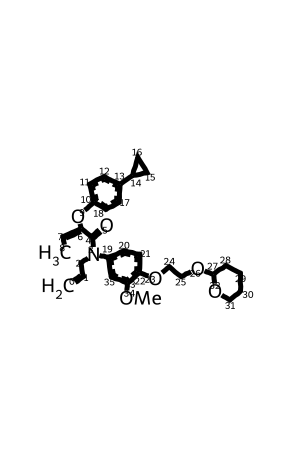 C=CCN(C(=O)C(=CC)Oc1ccc(C2CC2)cc1)c1ccc(OCCOC2CCCCO2)c(OC)c1